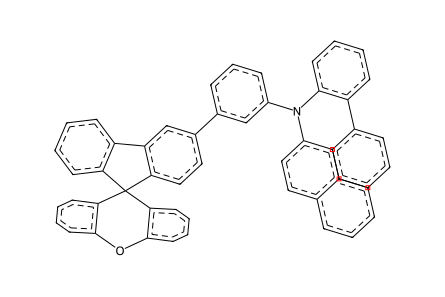 c1ccc(-c2ccccc2N(c2cccc(-c3ccc4c(c3)-c3ccccc3C43c4ccccc4Oc4ccccc43)c2)c2ccc3ccccc3c2)cc1